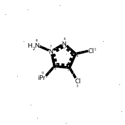 CC(C)c1c(Cl)c(Cl)nn1N